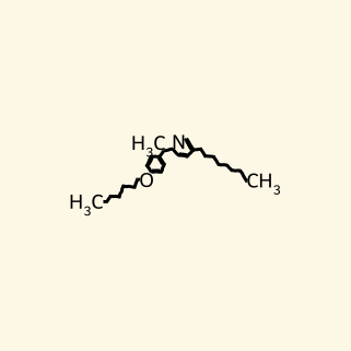 CCCCCCCCCc1ccc(C(C)c2ccc(OCCCCCCC)cc2)nc1